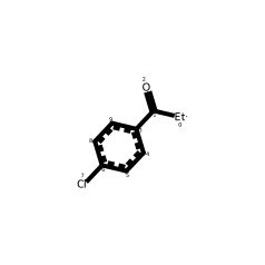 C[CH]C(=O)c1ccc(Cl)cc1